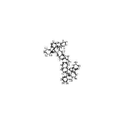 Cc1ccccc1N(c1ccc2cc3c(cc2c1)C(C)(C)c1cc2cc(N(c4ccccc4C)c4cccc5c4oc4ccccc45)ccc2cc1-3)c1cccc2c1oc1ccccc12